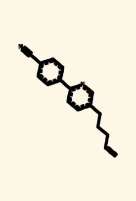 C=CCCCc1ccc(-c2ccc(C#N)cc2)nc1